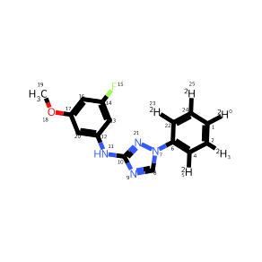 [2H]c1c([2H])c([2H])c(-n2cnc(Nc3cc(F)cc(OC)c3)n2)c([2H])c1[2H]